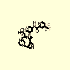 COCC1CN2CCN(CC2)c2cncc(c2)-c2cn(-c3cc(NC(=O)c4cc(C(F)(F)F)ccn4)cnc3C)n21